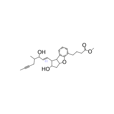 CC#CCC(C)C(O)/C=C/C1C(O)CC2Oc3c(CCCC(=O)OC)cccc3C21